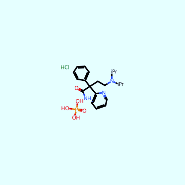 CC(C)N(CCC(C(N)=O)(c1ccccc1)c1ccccn1)C(C)C.Cl.O=P(O)(O)O